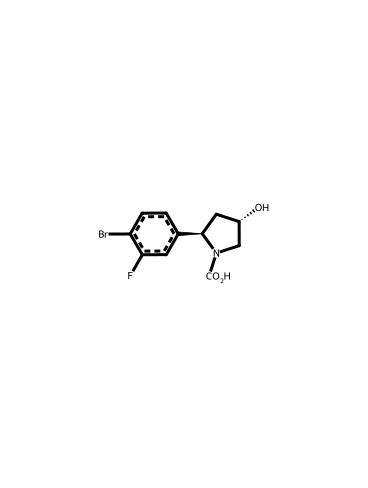 O=C(O)N1C[C@@H](O)C[C@@H]1c1ccc(Br)c(F)c1